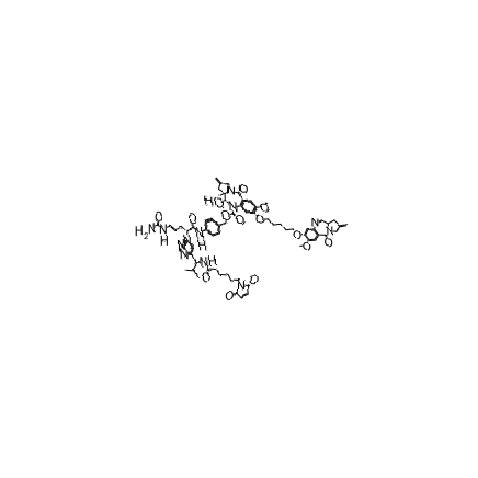 C=C1CC2C=Nc3cc(OCCCCCOc4cc5c(cc4OC)C(=O)N4CC(=C)CC4(C)[C@H](O)N5C(=O)OCc4ccc(NC(=O)[C@H](CCCNC(N)=O)n5cc([C@@H](NC(=O)CCCCCN6C(=O)C=CC6=O)C(C)C)nn5)cc4)c(OC)cc3C(=O)N2C1